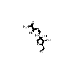 N=C(/N=C\N[C@@]1(O)CO[C@H](CO)[C@@H]1O)C(N)=O